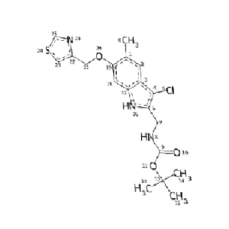 Cc1cc2c(Cl)c(CNC(=O)OC(C)(C)C)[nH]c2cc1OCc1cscn1